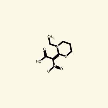 CCN1CCCSC1=C(C(=O)O)[N+](=O)[O-]